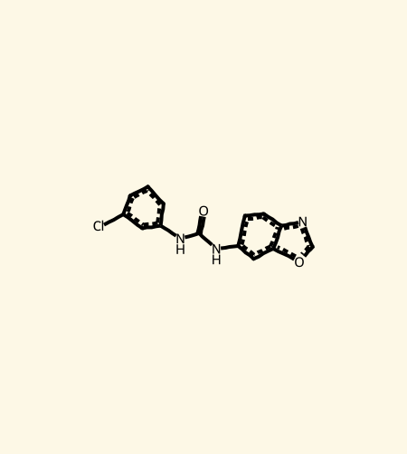 O=C(Nc1cccc(Cl)c1)Nc1ccc2ncoc2c1